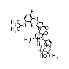 CC(C)C[C@@H](C(=O)Nc1ccn(CC(C)(C)O)n1)N1CC(Oc2c(F)ccc(OC(C)C)c2F)=CC1=O